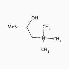 CSC(O)C[N+](C)(C)C